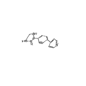 B1BB(c2ccc(-c3ccncc3)cc2)BC1